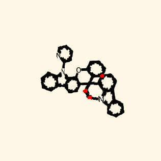 c1ccc(-n2c3ccccc3c3ccc4c(c32)Oc2ccccc2C42c3ccccc3-n3c4ccccc4c4cccc2c43)nc1